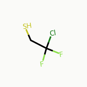 FC(F)(Cl)CS